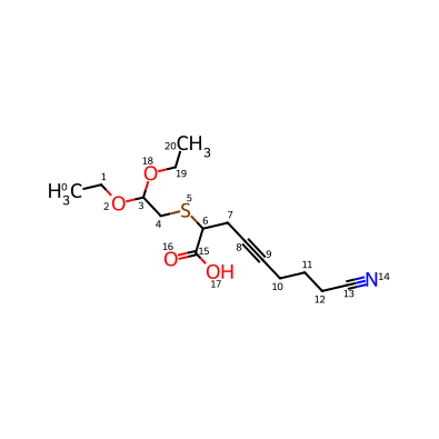 CCOC(CSC(CC#CCCCC#N)C(=O)O)OCC